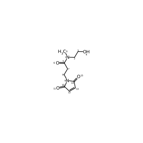 CN(CCO)C(=O)CCN1C(=O)C=CC1=O